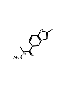 CN[C@H](C)C(=O)c1ccc2oc(C)cc2c1